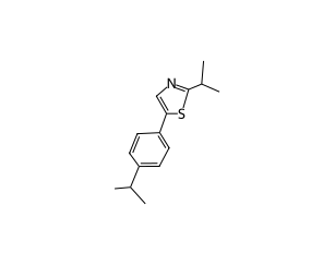 CC(C)c1ccc(-c2cnc(C(C)C)s2)cc1